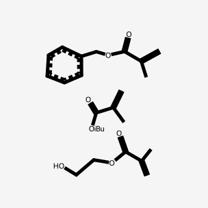 C=C(C)C(=O)OCC(C)C.C=C(C)C(=O)OCCO.C=C(C)C(=O)OCc1ccccc1